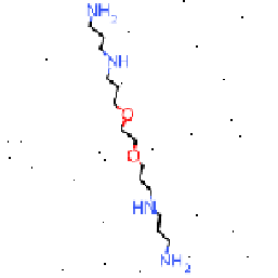 NCCCNCCCOCCOCCCNCCCN